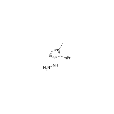 CCCc1c(C)csc1NN